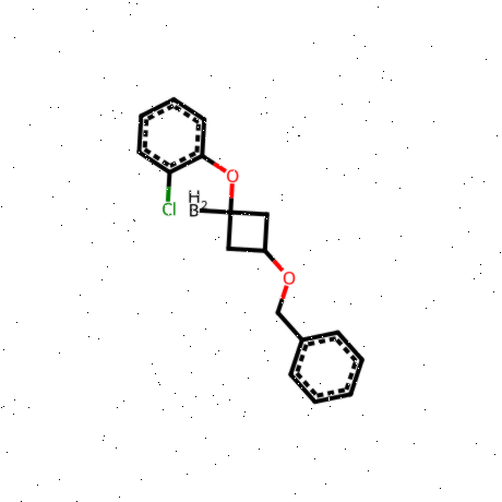 BC1(Oc2ccccc2Cl)CC(OCc2ccccc2)C1